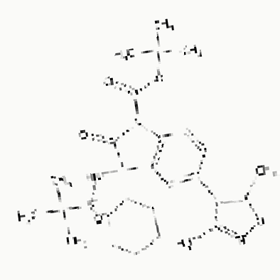 Cc1noc(C)c1-c1ccc2c(c1)[C@@](N[S+]([O-])C(C)(C)C)(C1CCCCC1)C(=O)N2C(=O)OC(C)(C)C